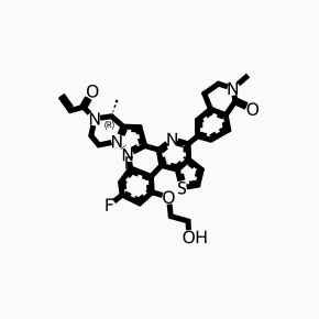 C=CC(=O)N1CCn2nc(-c3nc(-c4ccc5c(c4)CCN(C)C5=O)c4ccsc4c3-c3c(F)cc(F)cc3OCCO)cc2[C@H]1C